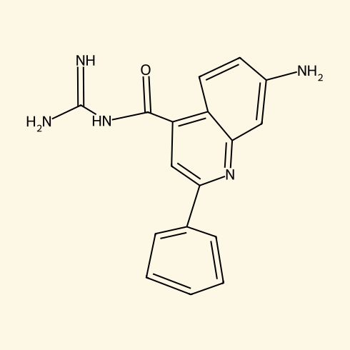 N=C(N)NC(=O)c1cc(-c2ccccc2)nc2cc(N)ccc12